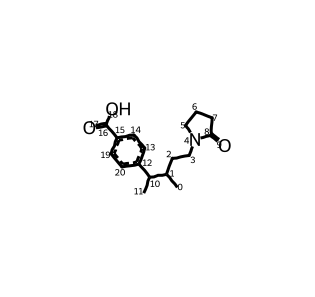 CC(CCN1CCCC1=O)C(C)c1ccc(C(=O)O)cc1